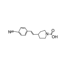 N#Cc1ccc(C=CC2CCN(C(=O)O)CC2)cc1